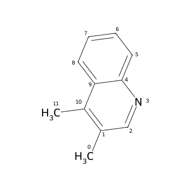 Cc1cnc2ccccc2c1C